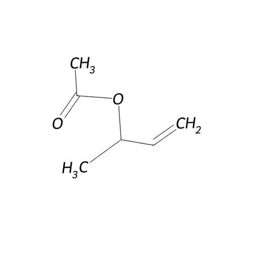 C=CC(C)OC(C)=O